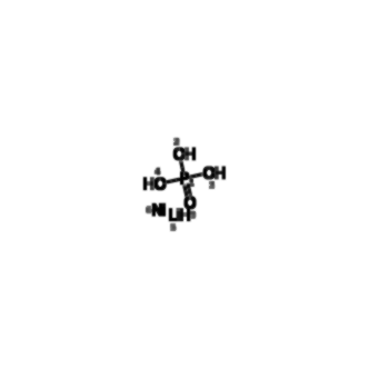 O=P(O)(O)O.[LiH].[Ni]